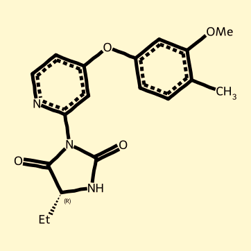 CC[C@H]1NC(=O)N(c2cc(Oc3ccc(C)c(OC)c3)ccn2)C1=O